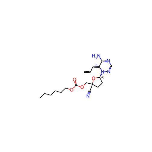 C=C/C=C1/C(N)=NC=NN1[C@H]1CCC(C#N)(COC(=O)OCCCCCC)O1